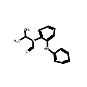 CC(C)N(C=O)c1ccccc1Nc1ccccc1